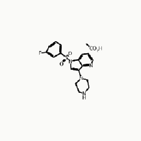 CC(=O)O.O=S(=O)(c1cccc(F)c1)n1cc(N2CCNCC2)c2ncccc21